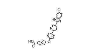 O=C(O)C1CC2(CC(Oc3ccc(-c4ccc(-c5nc6ccc(Cl)cc6[nH]5)cn4)cn3)C2)C1